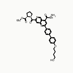 CC(C)(C)OC(=O)[C@H]1CCCN1C(=O)c1cc2nc(-c3ccc(-c4ccc(OCCCCO)cc4)cc3)cc(C(=O)NN)c2cn1